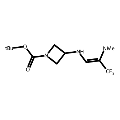 CN/C(=C\NC1CN(C(=O)OC(C)(C)C)C1)C(F)(F)F